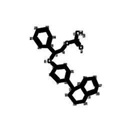 CC(=O)OCC(Oc1ccc(C2CCCc3ccccc32)cc1)c1ccccc1